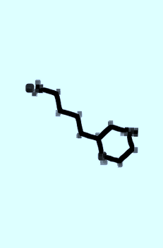 O=[N+]([O-])CCCCC1CNCCO1